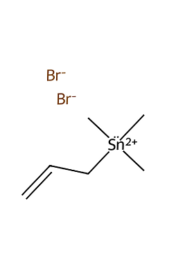 C=C[CH2][Sn+2]([CH3])([CH3])[CH3].[Br-].[Br-]